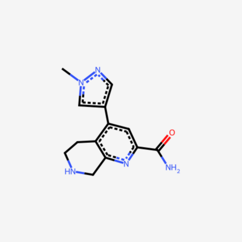 Cn1cc(-c2cc(C(N)=O)nc3c2CCNC3)cn1